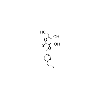 Nc1ccc(CO[C@@H]2[C@@H](O)[C@@H](O)[C@@H](CO)O[C@@H]2S)cc1